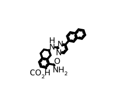 NC(=O)c1c(C(=O)O)ccc2c1CC(Nc1nccc(-c3ccc4ccccc4c3)n1)CC2